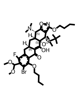 CCCCOc1noc2c1C(=O)[C@@]1(O[Si](C)(C)C(C)(C)C)C(O)=C3C(=O)c4c(c(F)c(C(OC)OC)c(Br)c4OCCCC)C[C@H]3C[C@H]1[C@@H]2N(C)C